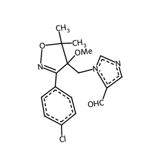 COC1(Cn2cncc2C=O)C(c2ccc(Cl)cc2)=NOC1(C)C